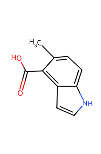 Cc1ccc2[nH]ccc2c1C(=O)O